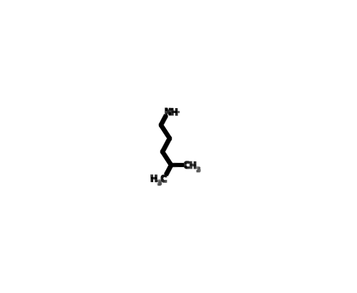 CC(C)CCC[NH]